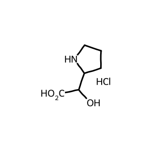 Cl.O=C(O)C(O)C1CCCN1